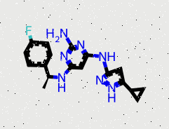 C[C@H](Nc1cc(Nc2cc(C3CC3)[nH]n2)nc(N)n1)c1ccc(F)cc1